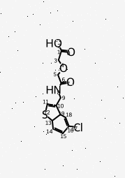 O=C(O)COCC(=O)NCC1=CSC2C=CC(Cl)=CC12